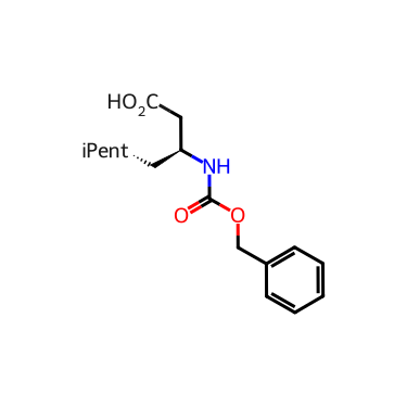 CCC[C@@H](C)C[C@@H](CC(=O)O)NC(=O)OCc1ccccc1